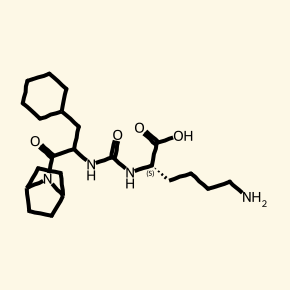 NCCCC[C@H](NC(=O)NC(CC1CCCCC1)C(=O)N1C2CCC1CC2)C(=O)O